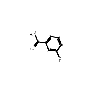 NC(=O)c1c[c]cc(Cl)c1